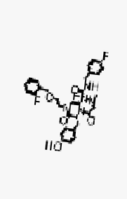 CN1CC(=O)N2[C@@H](Cc3ccc(O)cc3)C(=O)N(CCOCc3ccccc3F)C[C@@H]2N1C(=O)NCc1ccc(F)cc1